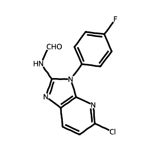 O=CNc1nc2ccc(Cl)nc2n1-c1ccc(F)cc1